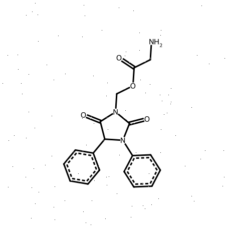 NCC(=O)OCN1C(=O)C(c2ccccc2)N(c2ccccc2)C1=O